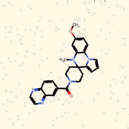 COc1ccc2c(c1)N(C)C1(CCN(C(=O)c3ccc4nccnc4c3)CC1)c1cccn1-2